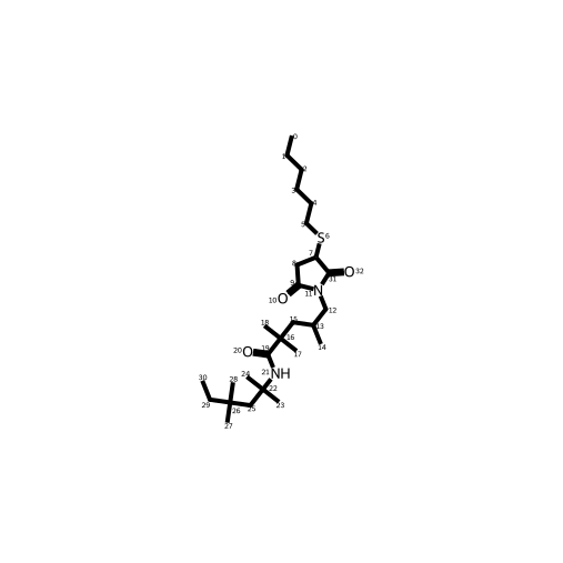 CCCCCCSC1CC(=O)N(CC(C)CC(C)(C)C(=O)NC(C)(C)CC(C)(C)CC)C1=O